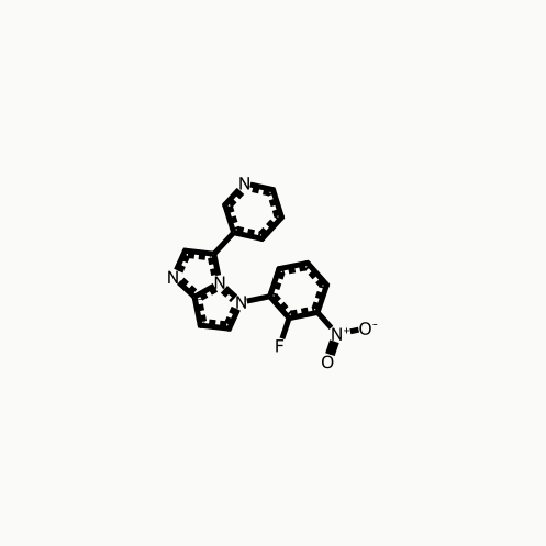 O=[N+]([O-])c1cccc(-n2ccc3ncc(-c4cccnc4)n32)c1F